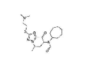 CC(C)CC(C(=O)c1nnc(SCCN(C)C)o1)N(C=O)C1CCCCCC1